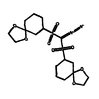 [N-]=[N+]=C(S(=O)(=O)C1CCCC2(C1)OCCO2)S(=O)(=O)C1CCCC2(C1)OCCO2